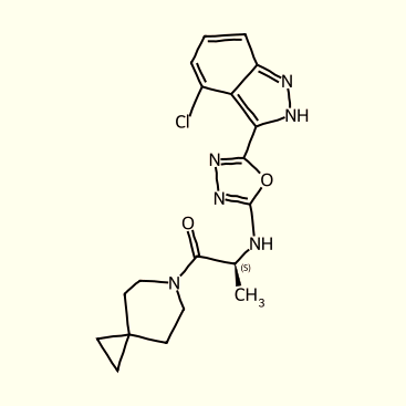 C[C@H](Nc1nnc(-c2[nH]nc3cccc(Cl)c23)o1)C(=O)N1CCC2(CC1)CC2